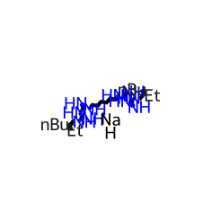 CCCCC(CC)CNC(=N)NC(=N)NCCCCCCNC(=N)NC(=N)NCC(CC)CCCC.[NaH]